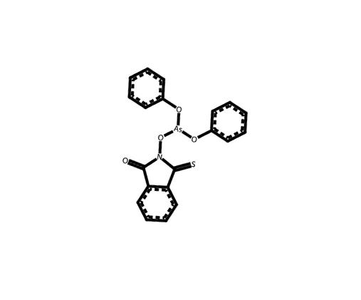 O=C1c2ccccc2C(=S)N1O[As](Oc1ccccc1)Oc1ccccc1